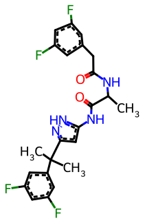 CC(NC(=O)Cc1cc(F)cc(F)c1)C(=O)Nc1cc(C(C)(C)c2cc(F)cc(F)c2)n[nH]1